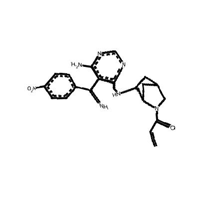 C=CC(=O)N1CC2CC(Nc3ncnc(N)c3C(=N)c3ccc([N+](=O)[O-])cc3)C1C2